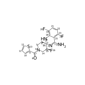 NC1=N[C@@]2(CCN(C(=O)c3cccs3)C[C@@H]2F)Nc2c(F)ccc(F)c21